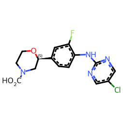 O=C(O)N1CCO[C@@H](c2ccc(Nc3ncc(Cl)cn3)c(F)c2)C1